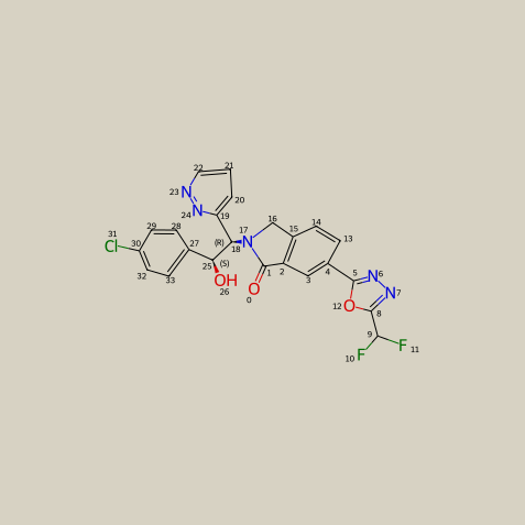 O=C1c2cc(-c3nnc(C(F)F)o3)ccc2CN1[C@H](c1cccnn1)[C@@H](O)c1ccc(Cl)cc1